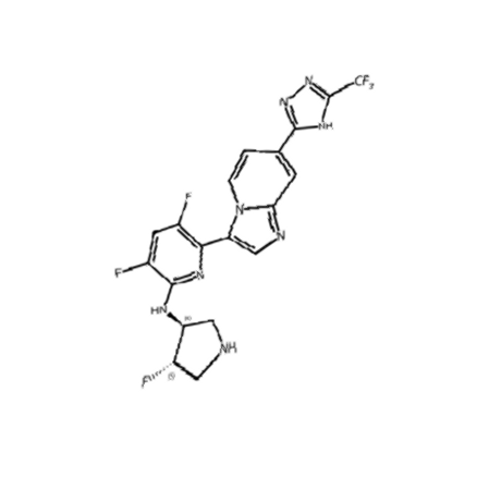 Fc1cc(F)c(-c2cnc3cc(-c4nnc(C(F)(F)F)[nH]4)ccn23)nc1N[C@H]1CNC[C@@H]1F